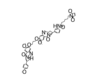 COc1ccc(C2=CN3C(=O)c4cc(OC)c(OCCCOc5cc6c(cc5OC)C(=O)N5C=C(c7cccc(NC(=O)CCCCCN8C(=O)C=CC8=O)c7)CC5C=N6)cc4N=C[C@@H]3C2)cc1